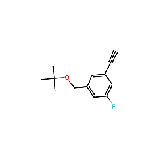 C#Cc1cc(F)cc(COC(C)(C)C)c1